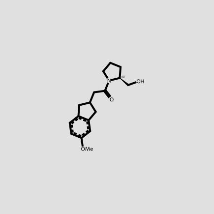 COc1ccc2c(c1)CC(CC(=O)N1CCC[C@H]1CO)C2